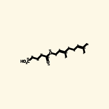 CC(C)=CCC/C(C)=C/COC(=O)CCCC(=O)O